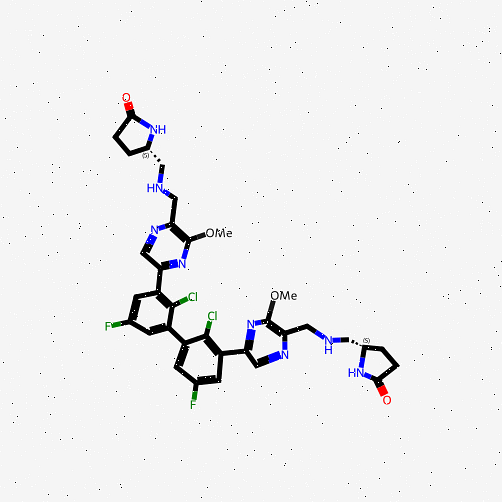 COc1nc(-c2cc(F)cc(-c3cc(F)cc(-c4cnc(CNC[C@@H]5CCC(=O)N5)c(OC)n4)c3Cl)c2Cl)cnc1CNC[C@@H]1CCC(=O)N1